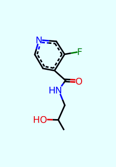 CC(O)CNC(=O)c1ccncc1F